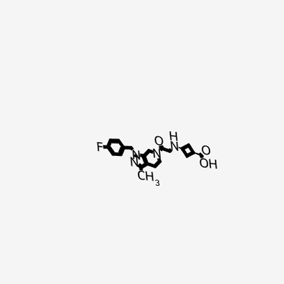 Cc1nn(Cc2ccc(F)cc2)c2c1CCN(C(=O)CN[C@H]1C[C@H](C(=O)O)C1)C2